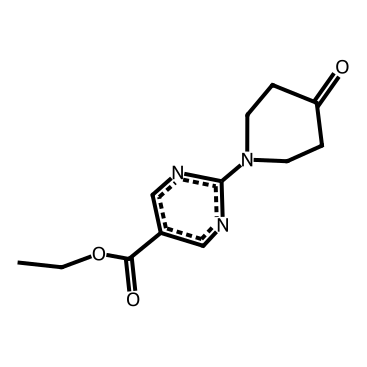 CCOC(=O)c1cnc(N2CCC(=O)CC2)nc1